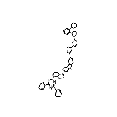 C1=CC(c2cccc(-c3ccc4oc5cc(-c6cccc7c(-c8nc(-c9ccccc9)nc(-c9ccccc9)n8)cccc67)ccc5c4c3)c2)CC(c2ccc3c4ccccc4c4ccccc4c3c2)=C1